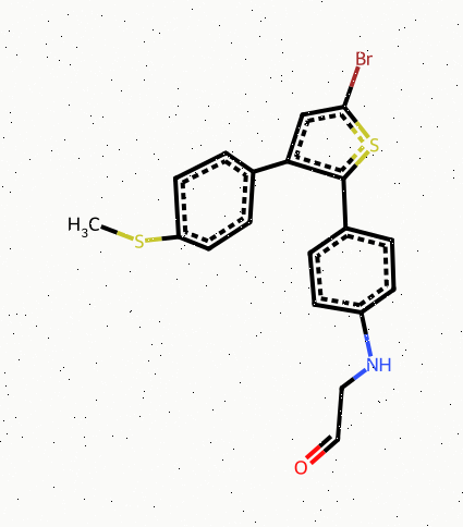 CSc1ccc(-c2cc(Br)sc2-c2ccc(NCC=O)cc2)cc1